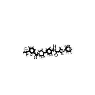 O=C(Nc1ccc(C2CCN(C(=O)c3cccc(C(F)(F)F)c3)CC2)cc1)C1CN(c2ccnnc2)C1